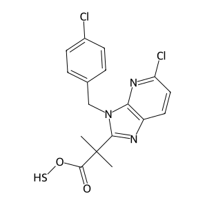 CC(C)(C(=O)OS)c1nc2ccc(Cl)nc2n1Cc1ccc(Cl)cc1